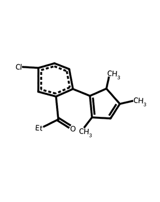 CCC(=O)c1cc(Cl)ccc1C1=C(C)C=C(C)C1C